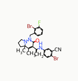 C=C(Nc1ccc(Br)c(C#N)c1)C1=C(C)C2(C)CCCN2N(Cc2cccc(F)c2Br)C1=O